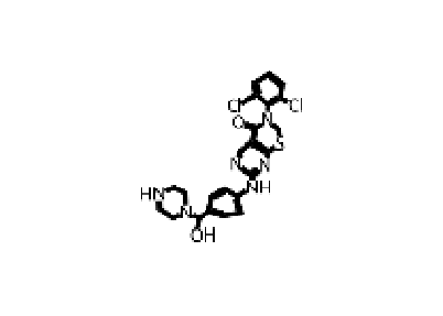 O=C1c2cnc(Nc3ccc(C(O)N4CCNCC4)cc3)nc2SCN1c1c(Cl)cccc1Cl